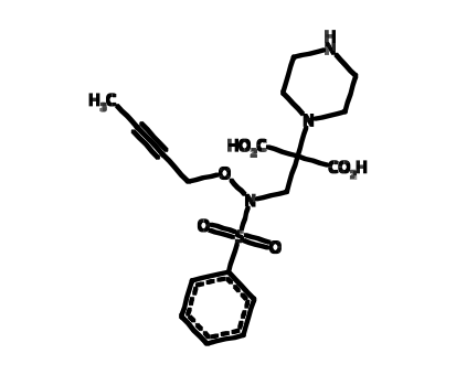 CC#CCON(CC(C(=O)O)(C(=O)O)N1CCNCC1)S(=O)(=O)c1ccccc1